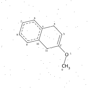 COC1=CCc2cc[c]cc2C1